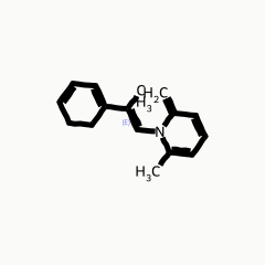 C=C1C=CC=C(C)N1/C=C(\C)C1=CC=CCC1